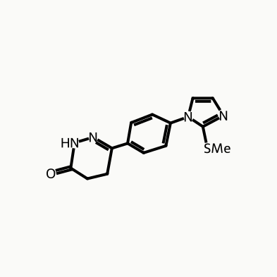 CSc1nccn1-c1ccc(C2=NNC(=O)CC2)cc1